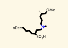 CCCCCCCCCCCCCCC(CCN(C)CCC[C@H](C)COC)S(=O)(=O)O